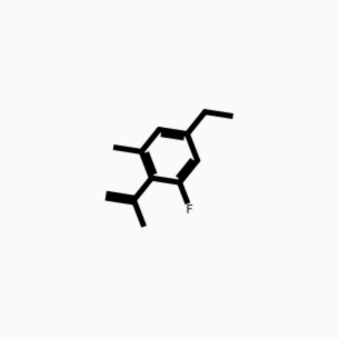 C=C(C)c1c(C)cc(CC)cc1F